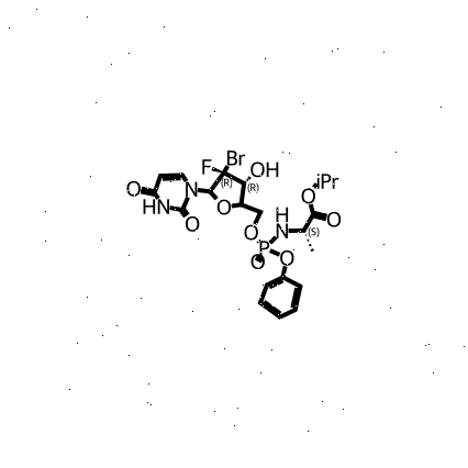 CC(C)OC(=O)[C@H](C)NP(=O)(OCC1OC(n2ccc(=O)[nH]c2=O)[C@](F)(Br)[C@@H]1O)Oc1ccccc1